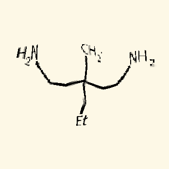 [CH2]C(CC)(CN)CN